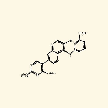 CCOC(=O)c1cccc(Nc2c([N+](=O)[O-])cnc3cc(-c4cnc(OC)nc4OC)ccc23)c1